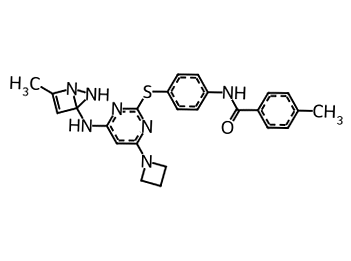 CC1=CC2(Nc3cc(N4CCC4)nc(Sc4ccc(NC(=O)c5ccc(C)cc5)cc4)n3)NN12